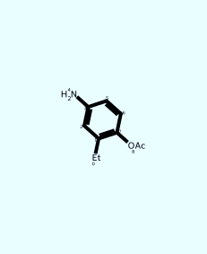 CCc1cc(N)ccc1OC(C)=O